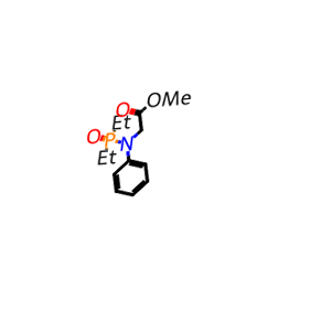 CCP(=O)(CC)N(CC(=O)OC)c1ccccc1